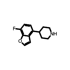 Fc1ccc(C2CCNCC2)c2ccoc12